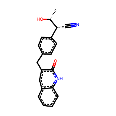 C[C@@H](O)[C@H](C#N)c1ccc(Cc2cc3ccccc3[nH]c2=O)cc1